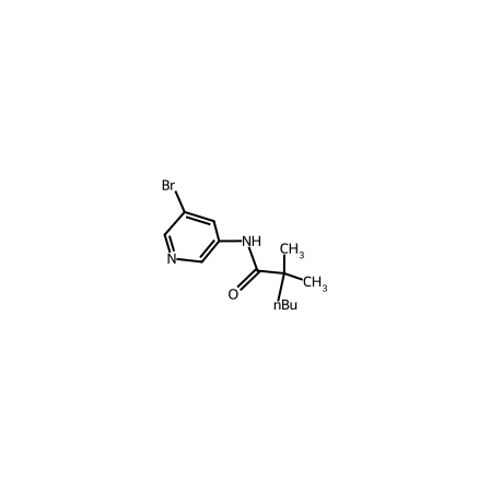 CCCCC(C)(C)C(=O)Nc1cncc(Br)c1